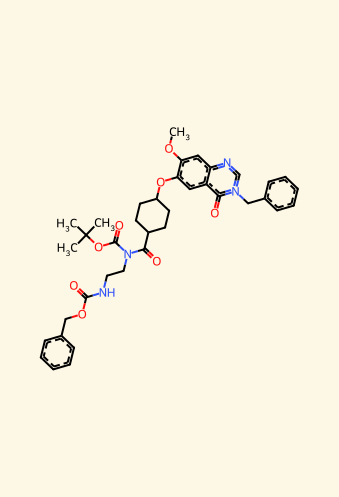 COc1cc2ncn(Cc3ccccc3)c(=O)c2cc1OC1CCC(C(=O)N(CCNC(=O)OCc2ccccc2)C(=O)OC(C)(C)C)CC1